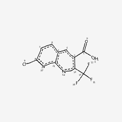 O=C(O)c1cc2ccc(Cl)nc2nc1C(F)(F)F